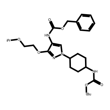 CC(C)OCCOc1nn(C2CCC(NC(=O)OC(C)(C)C)CC2)cc1NC(=O)OCc1ccccc1